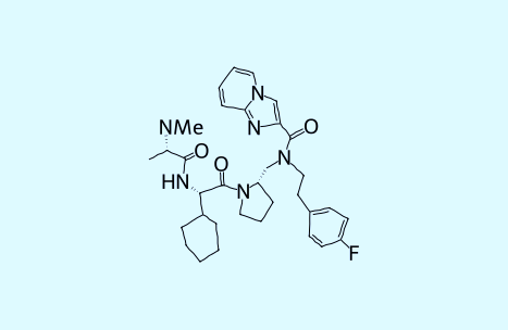 CN[C@@H](C)C(=O)N[C@H](C(=O)N1CCC[C@H]1CN(CCc1ccc(F)cc1)C(=O)c1cn2ccccc2n1)C1CCCCC1